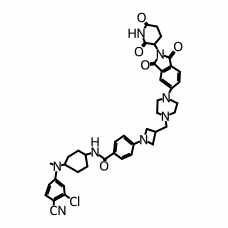 CN(c1ccc(C#N)c(Cl)c1)C1CCC(NC(=O)c2ccc(N3CC(CN4CCN(c5ccc6c(c5)C(=O)N(C5CCC(=O)NC5=O)C6=O)CC4)C3)cc2)CC1